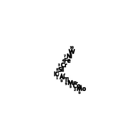 [Al].[C].[Co].[Cr].[Fe].[Mn].[Mo].[Ni].[Si].[Ti].[W]